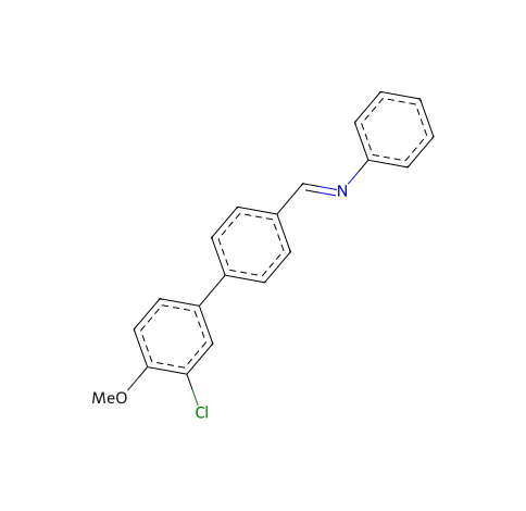 COc1ccc(-c2ccc(C=Nc3ccccc3)cc2)cc1Cl